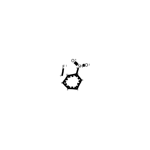 CF.O=[SH](=O)c1ccccc1